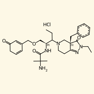 CCC([C@H](COCC1=CC(=O)CC=C1)NC(=O)C(C)(C)N)N1CCC2=NN(CC)C(=O)[C@@]2(Cc2ccccc2)C1.Cl